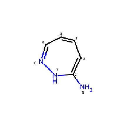 NC1=CC=CC=NN1